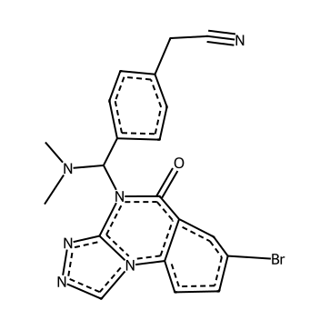 CN(C)C(c1ccc(CC#N)cc1)n1c(=O)c2cc(Br)ccc2n2cnnc12